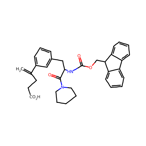 C=C(CCC(=O)O)c1cccc(CC(NC(=O)OCC2c3ccccc3-c3ccccc32)C(=O)N2CCCCC2)c1